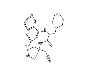 N#CCC1(NC(=O)C(CC2CCCCC2)NC(=NC(N)=O)c2cnccn2)CCNCC1